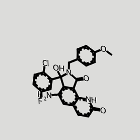 COc1ccc(CN2C(=O)c3c(c(N)cc4ccc(=O)[nH]c34)C2(O)c2cc(F)ccc2Cl)cc1